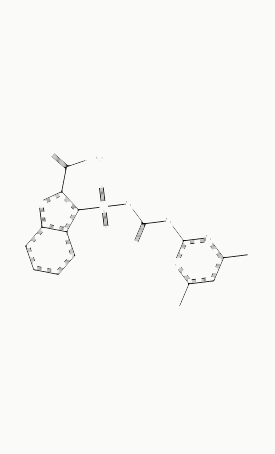 COC(=O)c1sc2ccccc2c1S(=O)(=O)NC(=O)Nc1nc(C)cc(C)n1